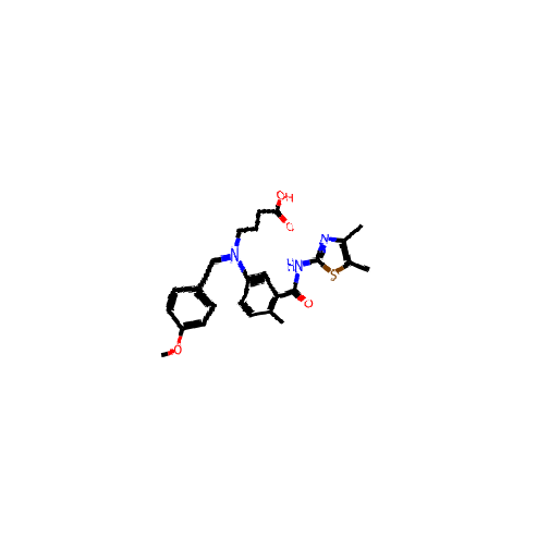 COc1ccc(CN(CCCC(=O)O)c2ccc(C)c(C(=O)Nc3nc(C)c(C)s3)c2)cc1